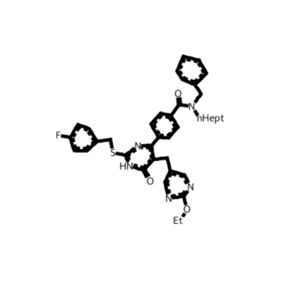 CCCCCCCN(Cc1ccccc1)C(=O)c1ccc(-c2nc(SCc3ccc(F)cc3)[nH]c(=O)c2Cc2cnc(OCC)nc2)cc1